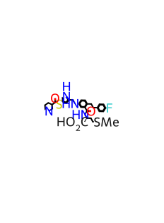 CSCC[C@H](NC(=O)c1cc(NCc2cc(SC(=O)C3CCC=NC3)c[nH]2)ccc1CCc1ccc(F)cc1)C(=O)O